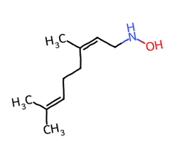 CC(C)=CCC/C(C)=C\CNO